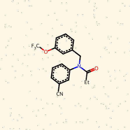 CCC(=O)N(Cc1cccc(OC(F)(F)F)c1)c1cccc(C#N)c1